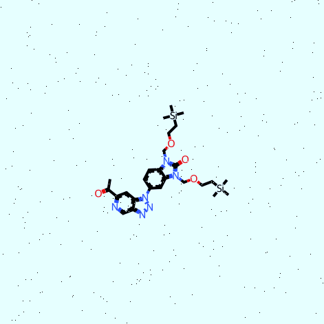 CC(=O)c1cc2c(cn1)nnn2-c1ccc2c(c1)n(COCC[Si](C)(C)C)c(=O)n2COCC[Si](C)(C)C